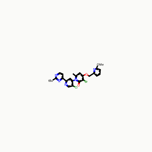 COc1cccc(COc2cc(C)n(-c3cc(-c4ccnc(C(C)(C)C)n4)ncc3Cl)c(=O)c2Br)n1